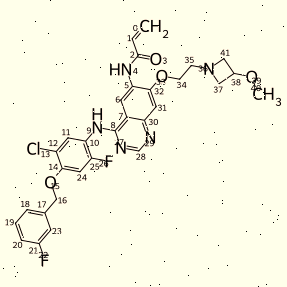 C=CC(=O)Nc1cc2c(Nc3cc(Cl)c(OCc4cccc(F)c4)cc3F)ncnc2cc1OCCN1CC(OC)C1